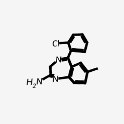 Cc1ccc2c(c1)C(c1ccccc1Cl)=NCC(N)=N2